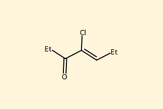 CCC=C(Cl)C(=O)CC